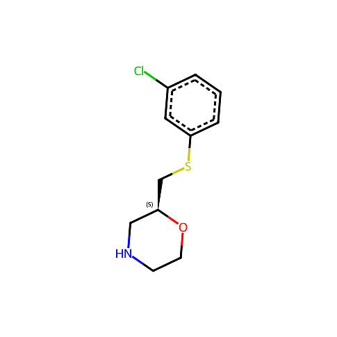 Clc1cccc(SC[C@@H]2CNCCO2)c1